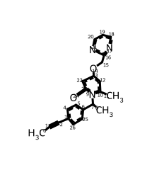 CC#Cc1ccc(C(C)n2c(C)cc(OCc3ncccn3)cc2=O)cc1